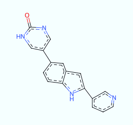 O=c1ncc(-c2ccc3[nH]c(-c4cccnc4)cc3c2)c[nH]1